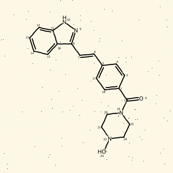 O=C(c1ccc(C=Cc2n[nH]c3ccccc23)cc1)N1CCN(O)CC1